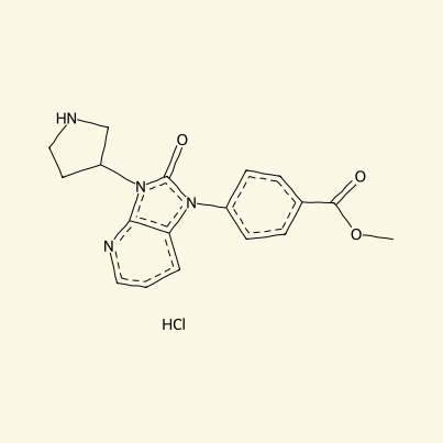 COC(=O)c1ccc(-n2c(=O)n(C3CCNC3)c3ncccc32)cc1.Cl